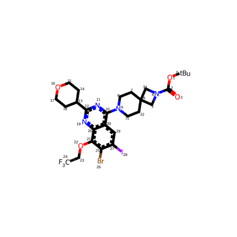 CC(C)(C)OC(=O)N1CC2(CCN(c3nc(C4CCOCC4)nc4c(OCC(F)(F)F)c(Br)c(I)cc34)CC2)C1